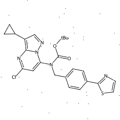 CC(C)(C)OC(=O)N(Cc1ccc(-c2nccs2)cc1)c1cc(Cl)nc2c(C3CC3)cnn12